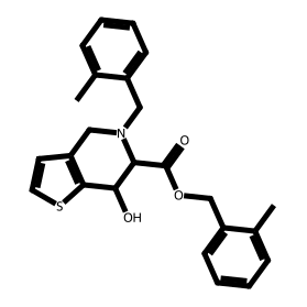 Cc1ccccc1COC(=O)C1C(O)c2sccc2CN1Cc1ccccc1C